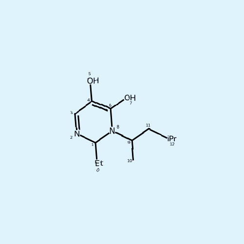 CCC1N=CC(O)=C(O)N1C(C)CC(C)C